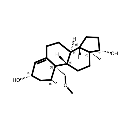 COC[C@@]12C(=C[C@@H](O)C[C@H]1C)CC[C@H]1[C@@H]3CC[C@H](O)[C@@]3(C)CC[C@@H]12